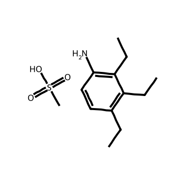 CCc1ccc(N)c(CC)c1CC.CS(=O)(=O)O